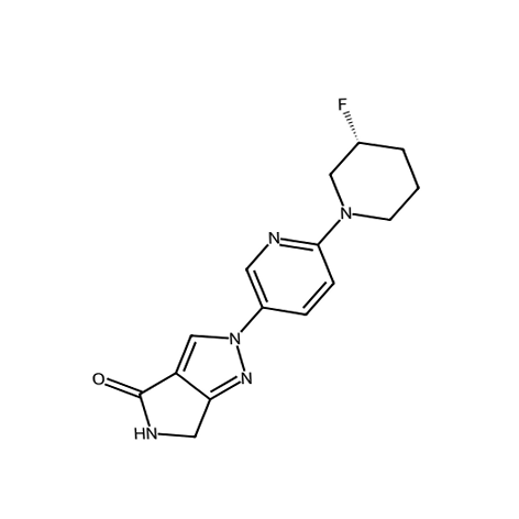 O=C1NCc2nn(-c3ccc(N4CCC[C@@H](F)C4)nc3)cc21